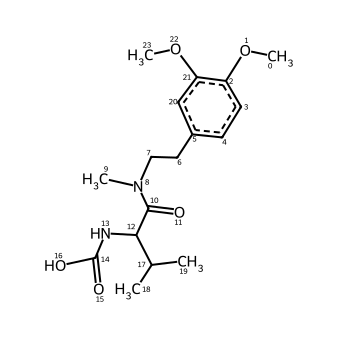 COc1ccc(CCN(C)C(=O)C(NC(=O)O)C(C)C)cc1OC